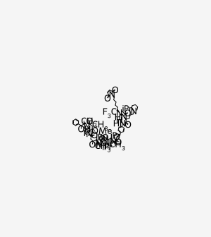 CCC(C)C(C(CC(=O)N1CCCC1C(OC)C(C)C(=O)NC(C)C(O)c1ccccc1)OC)N(C)C(=O)C(NC(=O)C(C(C)C)N(C)C(=O)OCc1ccc(NC(=O)C(CCCN2CCCCC2)NC(=O)C(NC(CCCCCN2C(=O)C=CC2=O)C(F)(F)F)C(C)C)cc1)C(C)C